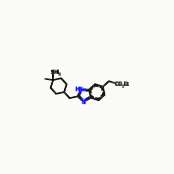 CCOC(=O)Cc1ccc2nc(CC3CCC(C)([SiH3])CC3)[nH]c2c1